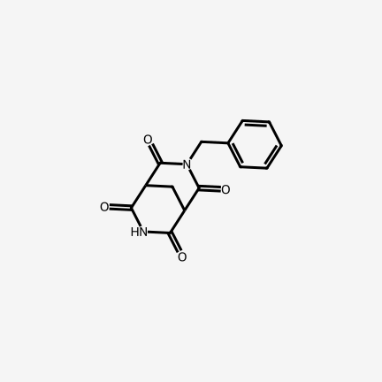 O=C1NC(=O)C2CC1C(=O)N(Cc1ccccc1)C2=O